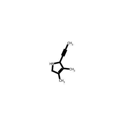 CC#CC1NCC(C)=C1C